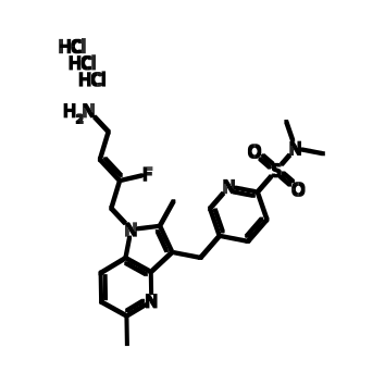 Cc1ccc2c(n1)c(Cc1ccc(S(=O)(=O)N(C)C)nc1)c(C)n2C/C(F)=C/CN.Cl.Cl.Cl